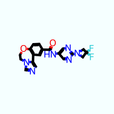 O=C(Nc1cnc(N2CC(F)(F)C2)nc1)c1ccc2c(c1)-c1cncn1CCO2